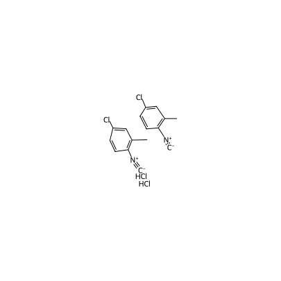 Cl.Cl.[C-]#[N+]c1ccc(Cl)cc1C.[C-]#[N+]c1ccc(Cl)cc1C